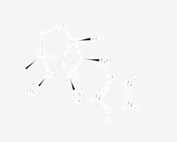 C[C@@]12CO[C@@H](O1)[C@@H](Nc1nnsn1)[C@@H](O)[C@H]2O